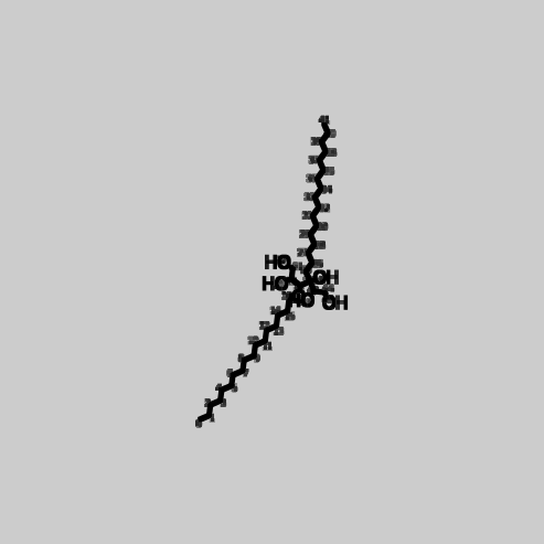 CCCCCCCCCCCCCCCCCOC(C(O)CO)C(O)(CCCCCCCCCCCCCCCCC)C(O)CO